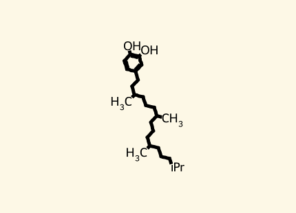 CC(C)CCCC(C)CCCC(C)CCCC(C)CCc1ccc(O)c(O)c1